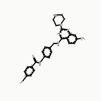 Cc1ccc2c(NCc3ccc(NC(=O)c4ccc(F)cc4)cc3)nc(N3CCNCC3)nc2c1